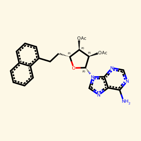 CC(=O)O[C@@H]1[C@H](OC(C)=O)[C@@H](CCc2cccc3ccccc23)O[C@H]1n1cnc2c(N)ncnc21